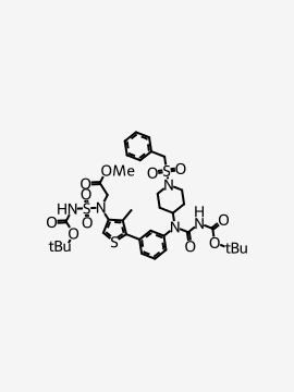 COC(=O)CN(c1csc(-c2cccc(N(C(=O)NC(=O)OC(C)(C)C)C3CCN(S(=O)(=O)Cc4ccccc4)CC3)c2)c1C)S(=O)(=O)NC(=O)OC(C)(C)C